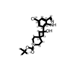 CC(C)(C)OC(=O)N1CCC2(CC1)CC(O)(c1cc(Cl)cc3cn[nH]c13)C2